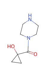 O=C(N1CCNCC1)C1(O)CC1